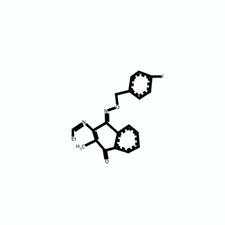 CC/C=N\C1=C(C)C(=O)c2ccccc2/C1=N\OCc1ccc(F)cc1